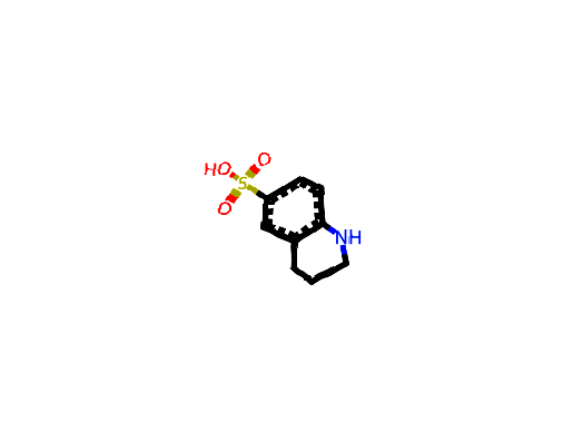 O=S(=O)(O)c1ccc2c(c1)CCCN2